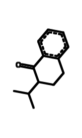 CC(C)C1CCc2ccccc2C1=O